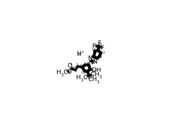 COC(=O)/C=C/c1cc(-n2nc3ccc(C(F)(F)F)cc3n2)c(O)c(C(C)(C)C)c1.[H+]